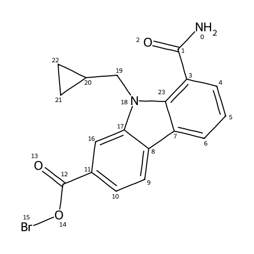 NC(=O)c1cccc2c3ccc(C(=O)OBr)cc3n(CC3CC3)c12